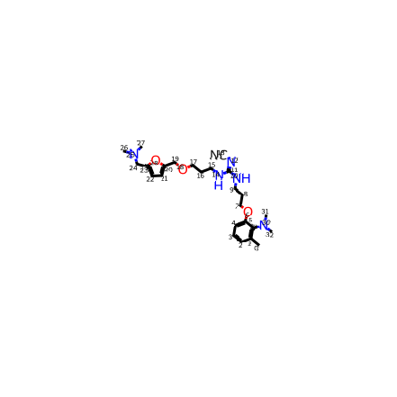 Cc1cccc(OCCCN/C(=N/C#N)NCCCOCc2ccc(CN(C)C)o2)c1N(C)C